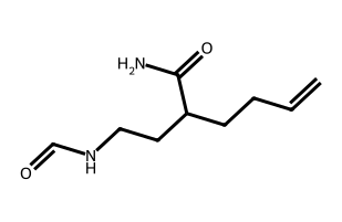 C=CCCC(CCNC=O)C(N)=O